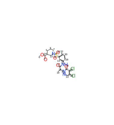 COC(=O)C1CCCN(S(=O)(=O)c2cc(NC(=O)C(C)n3ncc(Cl)c(Cl)c3=O)ccc2C)C1